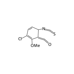 COC1=C(Cl)C=CC(N=C=S)C1=C=O